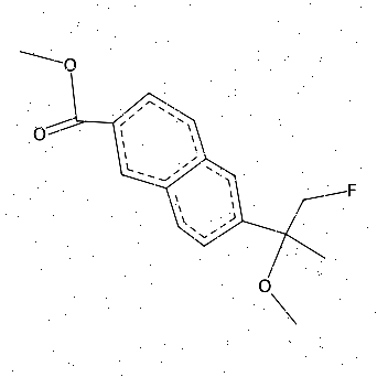 COC(=O)c1ccc2cc(C(C)(CF)OC)ccc2c1